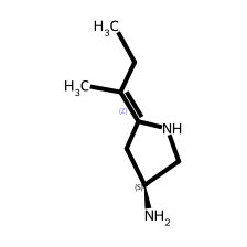 CC/C(C)=C1/C[C@H](N)CN1